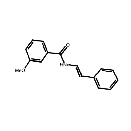 COc1cccc(C(=O)NC=Cc2ccccc2)c1